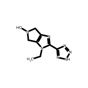 CCn1c(-c2nn[nH]n2)nc2c1CN(O)C2